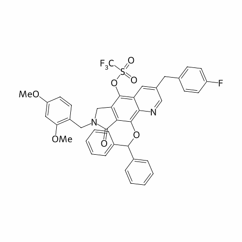 COc1ccc(CN2Cc3c(c(OC(c4ccccc4)c4ccccc4)c4ncc(Cc5ccc(F)cc5)cc4c3OS(=O)(=O)C(F)(F)F)C2=O)c(OC)c1